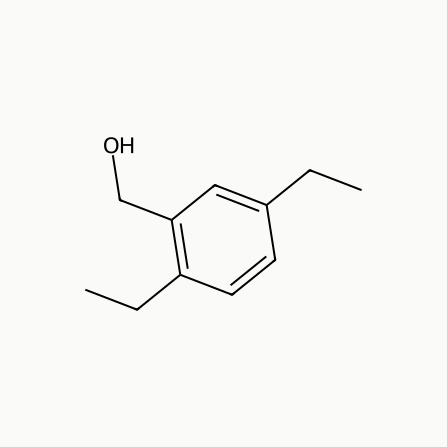 CCc1ccc(CC)c(CO)c1